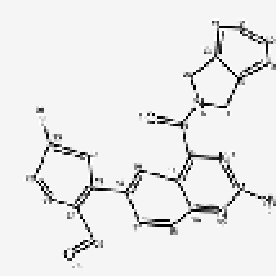 Nc1nc(C(=O)N2Cc3ccccc3C2)c2cc(-c3cc(F)ccc3C=O)ccc2n1